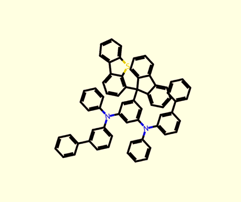 c1ccc(-c2cccc(N(c3ccccc3)c3cc(N(c4ccccc4)c4cccc(-c5ccccc5)c4)cc(C4(c5cccc6c5sc5ccccc56)c5ccccc5-c5ccccc54)c3)c2)cc1